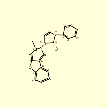 CB1C=c2oc3ncccc3c2=CN1N1C=CN(c2ccccc2)[C@@H]1C